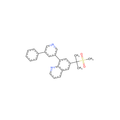 CC(C)(c1cc(-c2cncc(-c3ccccc3)c2)c2ncccc2c1)S(C)(=O)=O